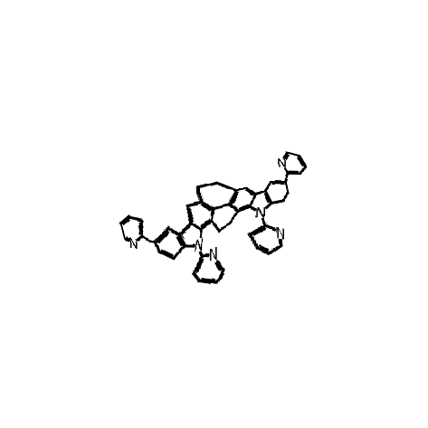 C1=C(c2ccccn2)CCc2c1c1cc3c4c(c1n2-c1ccccn1)CCc1c-4c(cc2c4cc(-c5ccccn5)ccc4n(-c4ccccn4)c12)CC3